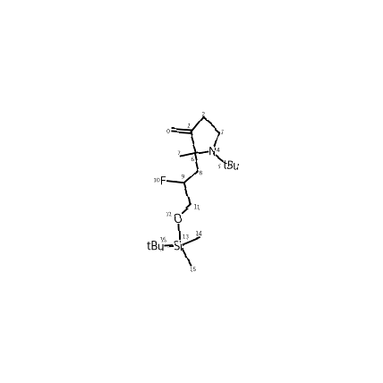 C=C1CCN(C(C)(C)C)C1(C)CC(F)CO[Si](C)(C)C(C)(C)C